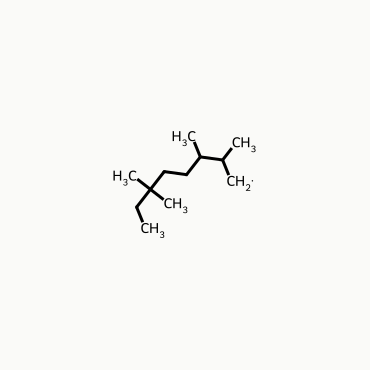 [CH2]C(C)C(C)CCC(C)(C)CC